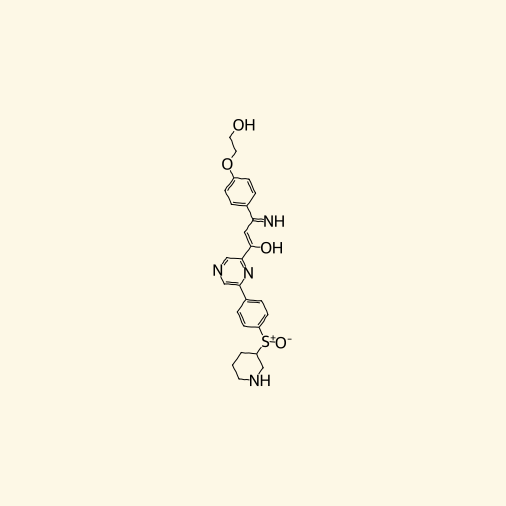 N=C(/C=C(\O)c1cncc(-c2ccc([S+]([O-])C3CCCNC3)cc2)n1)c1ccc(OCCO)cc1